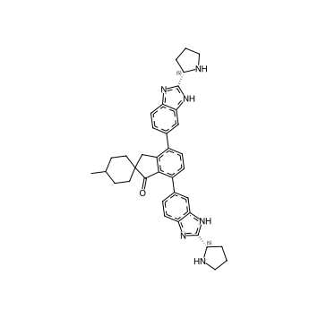 CC1CCC2(CC1)Cc1c(-c3ccc4nc([C@@H]5CCCN5)[nH]c4c3)ccc(-c3ccc4nc([C@@H]5CCCN5)[nH]c4c3)c1C2=O